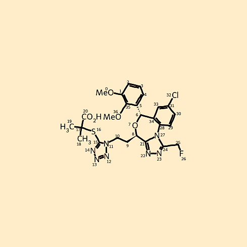 COc1cccc([C@H]2O[C@H](CCn3nnnc3SC(C)(C)C(=O)O)c3nnc(CF)n3-c3ccc(Cl)cc32)c1OC